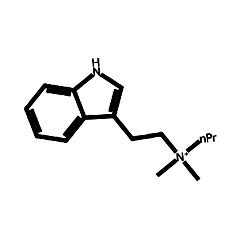 CCC[N+](C)(C)CCc1c[nH]c2ccccc12